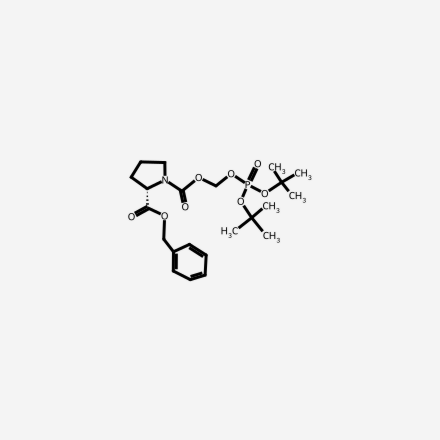 CC(C)(C)OP(=O)(OCOC(=O)N1CCC[C@H]1C(=O)OCc1ccccc1)OC(C)(C)C